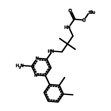 Cc1cccc(-c2cc(NCC(C)(C)CNC(=O)OC(C)(C)C)nc(N)n2)c1C